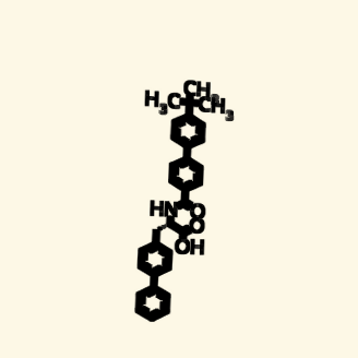 CC(C)(C)c1ccc(-c2ccc(C(=O)N[C@@H](Cc3ccc(-c4ccccc4)cc3)C(=O)O)cc2)cc1